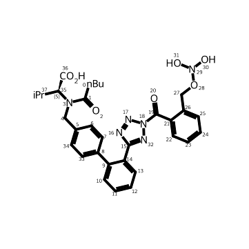 CCCCC(=O)N(Cc1ccc(-c2ccccc2-c2nnn(C(=O)c3ccccc3CON(O)O)n2)cc1)[C@H](C(=O)O)C(C)C